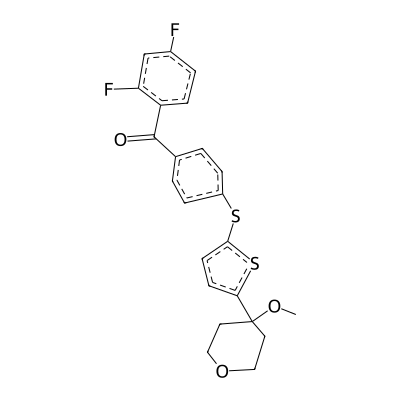 COC1(c2ccc(Sc3ccc(C(=O)c4ccc(F)cc4F)cc3)s2)CCOCC1